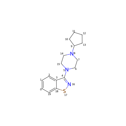 c1ccc2c(N3CCN(C4CCCC4)CC3)nsc2c1